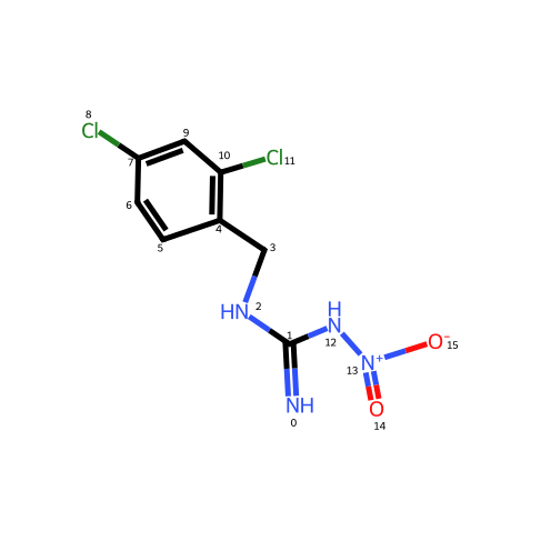 N=C(NCc1ccc(Cl)cc1Cl)N[N+](=O)[O-]